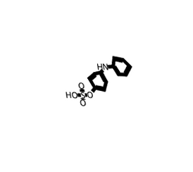 O=S(=O)(O)Oc1ccc(Nc2ccccc2)cc1